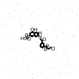 O=C(CNc1ccc2c(O)cc(S(=O)(=O)O)cc2c1)c1cccc(S(=O)(=O)CCCl)c1